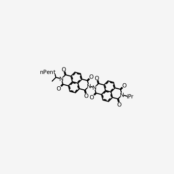 CCCCCC(C)N1C(=O)c2ccc3c4c(ccc(c24)C1=O)C(=O)N(N1C(=O)c2ccc4c5c(ccc(c25)C1=O)C(=O)N(C(C)C)C4=O)C3=O